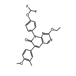 CCOc1ncc2cc(-c3ccc(OC)c(C)c3)c(=O)n(-c3ccc(OC(F)F)cc3)c2n1